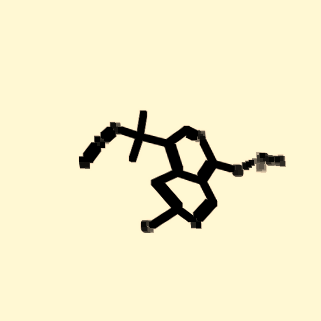 CCC[C@@H](C)Oc1ncc(C(C)(C)N=[N+]=[N-])c2cc(Cl)ncc12